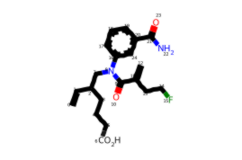 C=CC(CCCC(=O)O)CN(C(=O)C(=C)CCF)c1cccc(C(N)=O)c1